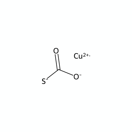 O=C([O-])[S-].[Cu+2]